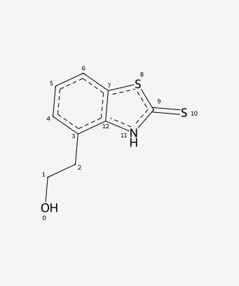 OCCc1cccc2sc(=S)[nH]c12